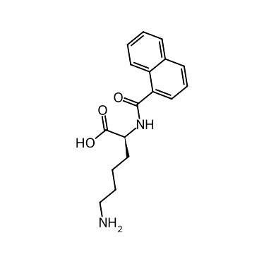 NCCCC[C@H](NC(=O)c1cccc2ccccc12)C(=O)O